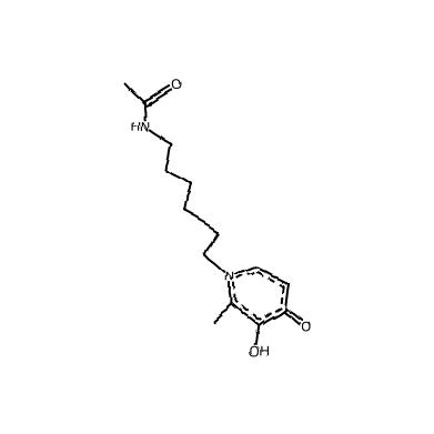 CC(=O)NCCCCCCn1ccc(=O)c(O)c1C